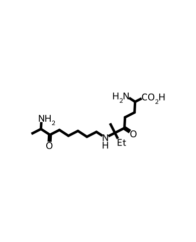 CCC(C)(NCCCCCC(=O)C(C)N)C(=O)CCC(N)C(=O)O